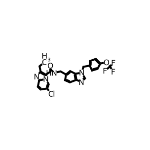 CCc1nc2ccc(Cl)cn2c1C(=O)NCc1ccc2ncn(Cc3ccc(OC(F)(F)F)cc3)c2c1